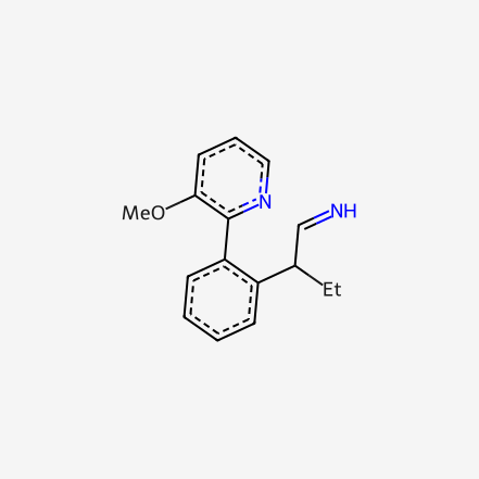 CCC(C=N)c1ccccc1-c1ncccc1OC